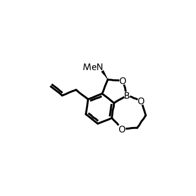 C=CCc1ccc2c3c1[C@@H](NC)OB3OCCO2